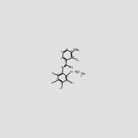 CCC(=Nc1c(F)c(F)c(F)c(F)c1F)c1cccc(C(C)(C)C)[c]1[Ti].Cl.Cl